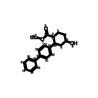 CC(C)(C)OC(=O)N1CCC(O)CC1c1ccc(-c2ccccc2)cc1